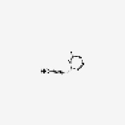 Cc1cccc(CC#CO)n1